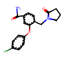 NC(=O)c1ccc(CN2CCCC2=O)c(Oc2ccc(Cl)cc2)c1